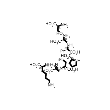 CC(C)C[C@H](N)C(=O)O.CC(C)[C@H](N)C(=O)O.C[C@H](N)C(=O)O.C[C@H](N)C(=O)O.NCCCC[C@H](N)C(=O)O.N[C@@H](CO)C(=O)O.O=C(O)[C@@H]1CCCN1